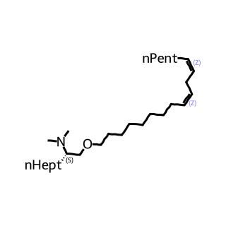 CCCCC/C=C\C/C=C\CCCCCCCCOC[C@H](CCCCCCC)N(C)C